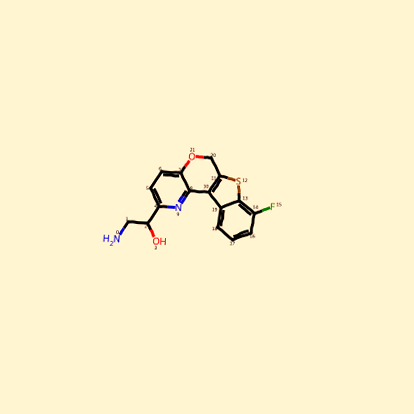 NCC(O)c1ccc2c(n1)-c1c(sc3c(F)cccc13)CO2